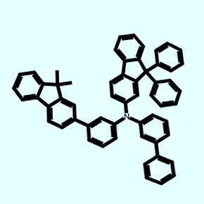 CC1(C)c2ccccc2-c2ccc(-c3cccc(N(c4cccc(-c5ccccc5)c4)c4ccc5c(c4)C(c4ccccc4)(c4ccccc4)c4ccccc4-5)c3)cc21